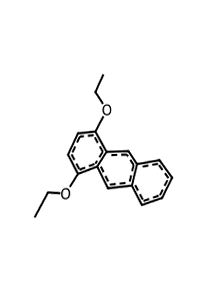 CCOc1ccc(OCC)c2cc3ccccc3cc12